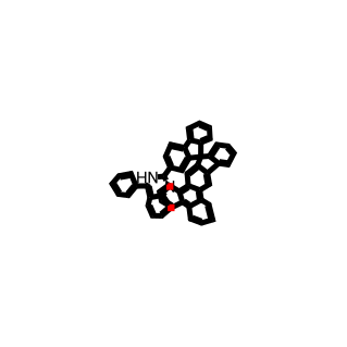 c1ccc(C2=c3ccccc3=NC(c3ccc4c(c3)C3(c5ccccc5-4)c4ccccc4-c4cc5c6ccccc6c6ccccc6c5cc43)N2)cc1